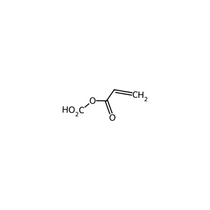 C=CC(=O)OC(=O)O